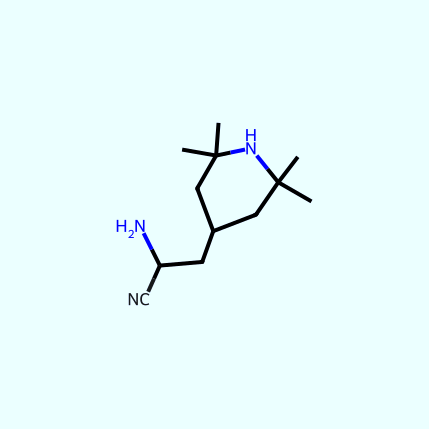 CC1(C)CC(CC(N)C#N)CC(C)(C)N1